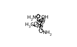 CC#CCn1c(N2CCCC(N)C2)nc2c(=O)n(CC(=O)O)n(Cc3ccccc3N)c(=O)c21